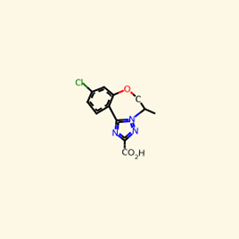 CC1COc2cc(Cl)ccc2-c2nc(C(=O)O)nn21